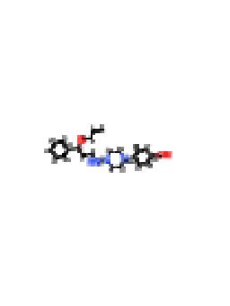 C=CCOC(CCNN1CCN(c2ccc(O)cc2)CC1)c1ccccc1